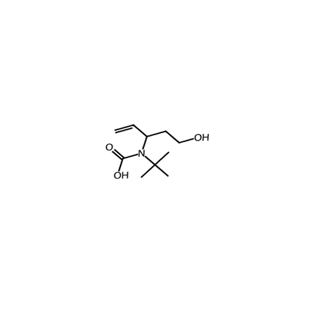 C=CC(CCO)N(C(=O)O)C(C)(C)C